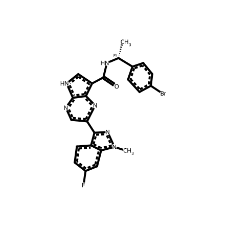 C[C@@H](NC(=O)c1c[nH]c2ncc(-c3nn(C)c4cc(F)ccc34)nc12)c1ccc(Br)cc1